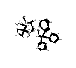 CC(C)(C)OC(=O)[C@H](CSC(c1ccccc1)(c1ccccc1)c1ccccc1)NC1(C[N+](=O)[O-])COC1